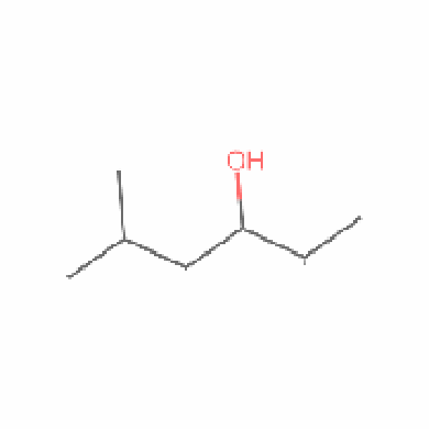 C[CH]C(O)CC(C)C